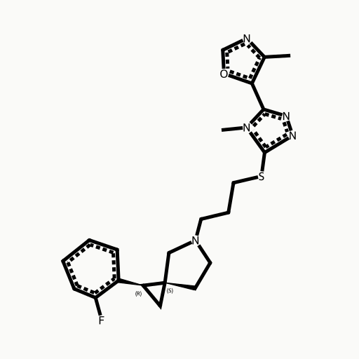 Cc1ncoc1-c1nnc(SCCCN2CC[C@]3(C[C@H]3c3ccccc3F)C2)n1C